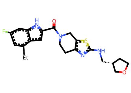 CCc1cc(F)cc2[nH]c(C(=O)N3CCc4nc(NC[C@@H]5CCOC5)sc4C3)cc12